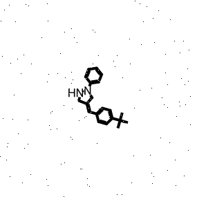 CC(C)(C)c1ccc(C=C2CNN(c3ccccc3)C2)cc1